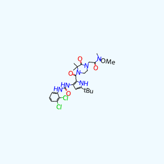 CON(C)C(=O)CN1CCN(C(=O)c2[nH]c(C(C)(C)C)cc2NC(=O)Nc2cccc(Cl)c2Cl)C(C)(C)C1=O